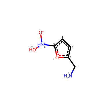 NCc1ccc([NH+]([O-])O)o1